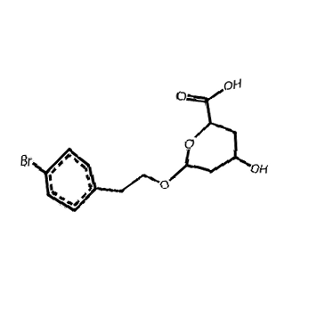 O=C(O)C1CC(O)CC(OCCc2ccc(Br)cc2)O1